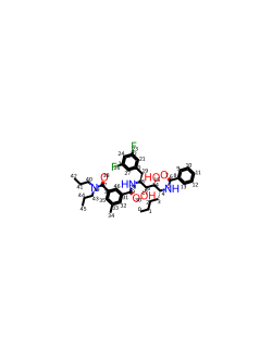 CCCC[C@@H](NC(=O)c1ccccc1)[C@@H](O)[C@H](O)[C@H](Cc1cc(F)cc(F)c1)NC(=O)c1cc(C)cc(C(=O)N(CCC)CCC)c1